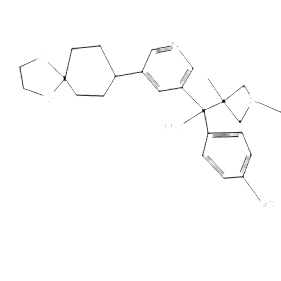 CC(C)c1ccc(C(O)(c2cncc(C3CCC4(CC3)OCCO4)c2)C2(C)CN(C)C2)cc1